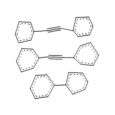 C(#Cc1ccccc1)c1ccccc1.C(#Cc1ccccc1)c1ccccc1.c1ccc(-c2ccccc2)cc1